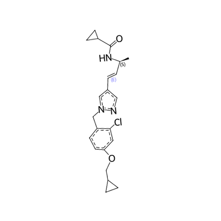 C[C@@H](/C=C/c1cnn(Cc2ccc(OCC3CC3)cc2Cl)c1)NC(=O)C1CC1